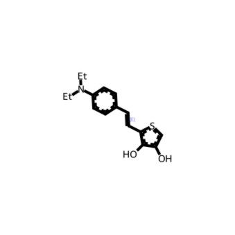 CCN(CC)c1ccc(/C=C/c2scc(O)c2O)cc1